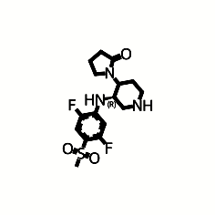 CS(=O)(=O)c1cc(F)c(N[C@@H]2CNCCC2N2CCCC2=O)cc1F